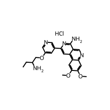 CCC(N)COc1cncc(-c2cc3c(cnc4cc(OC)c(OC)cc43)c(N)n2)c1.Cl